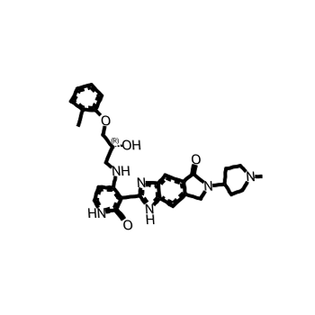 Cc1ccccc1OC[C@H](O)CNc1cc[nH]c(=O)c1-c1nc2cc3c(cc2[nH]1)CN(C1CCN(C)CC1)C3=O